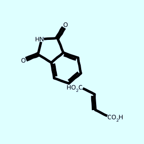 O=C(O)/C=C/C(=O)O.O=C1NC(=O)c2ccccc21